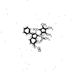 CC1=C(C)C(C)[C]([Zr+2]([CH]2C=C(c3ccccc3)c3ccc(Cl)cc32)=[Si](C)C)=C1C.[Cl-].[Cl-]